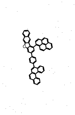 c1ccc2cc3c(cc2c1)oc1cc(-c2ccc(-c4cc5ccc6ccccc6c5c5ccccc45)cc2)cc(-c2ccc4ccc5cccc6ccc2c4c56)c13